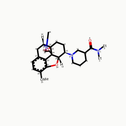 CCN(CC)C(=O)C1CCCN([C@@H]2CC[C@@]3(O)[C@H]4Cc5ccc(OC)c6c5[C@@]3(CCN4C)[C@H]2O6)C1